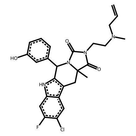 C=CCN(C)CCN1C(=O)N2C(c3cccc(O)c3)c3[nH]c4cc(F)c(Cl)cc4c3CC2(C)C1=O